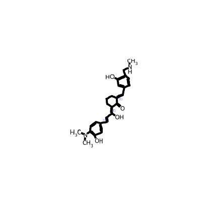 CNCc1ccc(/C=C2\CCC/C(=C(O)\C=C\c3ccc(N(C)C)c(O)c3)C2=O)cc1O